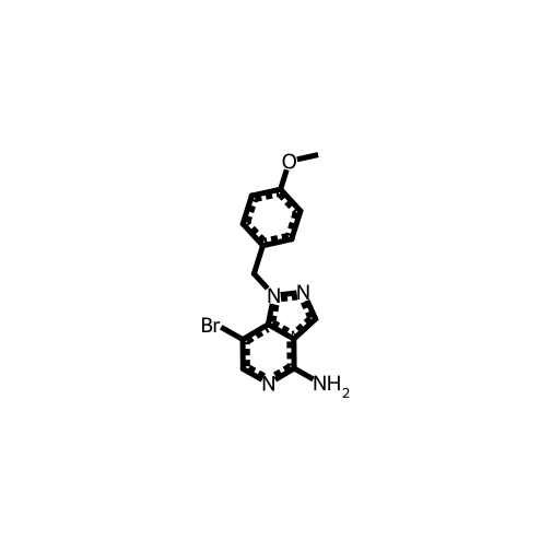 COc1ccc(Cn2ncc3c(N)ncc(Br)c32)cc1